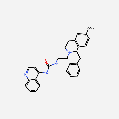 COc1ccc2c(c1)CCN(CCNC(=O)Nc1ccnc3ccccc13)C2Cc1ccccc1